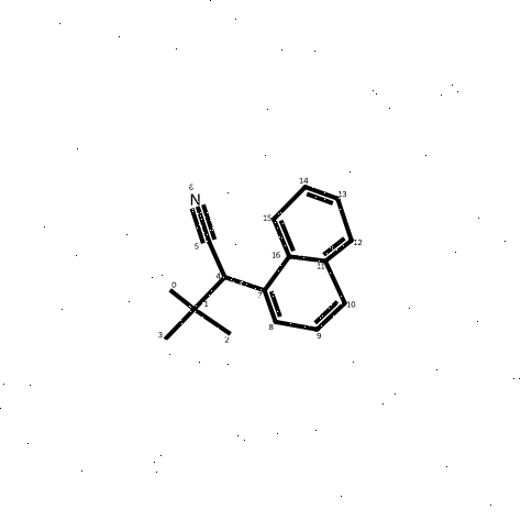 CC(C)(C)C(C#N)c1cccc2ccccc12